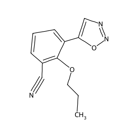 CCCOc1c(C#N)cccc1-c1cnno1